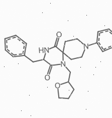 O=C1C(Cc2ccccc2)NC(=O)C2(CCN(c3ccccc3)CC2)N1CC1CCCO1